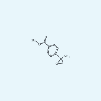 CC(C)(C)OC(=O)c1ccc(C2(C)CO2)cc1